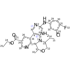 C=C(/N=C\C(=C(/N)N1CC(C)OCC1CC)c1cncc(C(=O)OCC)c1)Nc1ccc(F)c(Cl)c1